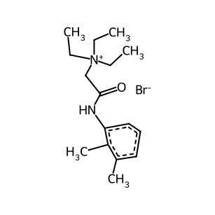 CC[N+](CC)(CC)CC(=O)Nc1cccc(C)c1C.[Br-]